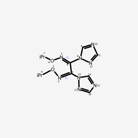 CC(C)O/N=C(\C(=N/OC(C)C)n1cncn1)n1cncn1